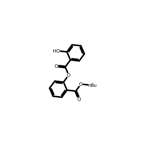 CCCCOC(=O)c1ccccc1OC(=O)c1ccccc1O